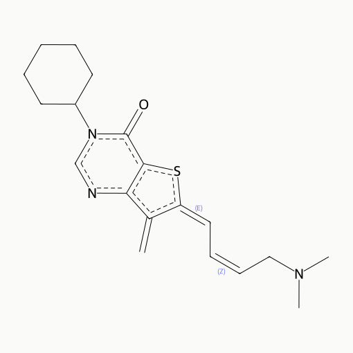 C=c1/c(=C\C=C/CN(C)C)sc2c(=O)n(C3CCCCC3)cnc12